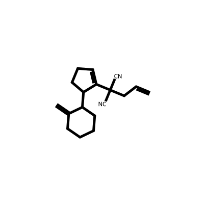 C=CCC(C#N)(C#N)C1=CCCC1C1CCCCC1=C